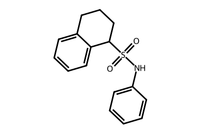 O=S(=O)(Nc1ccccc1)C1CCCc2ccccc21